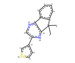 CC1(C)c2ccccc2-c2ncc(-c3ccsc3)nc21